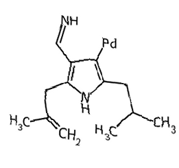 C=C(C)Cc1[nH]c(CC(C)C)[c]([Pd])c1C=N